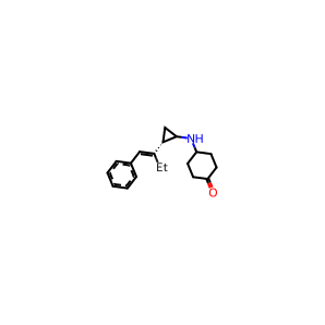 CC/C(=C\c1ccccc1)[C@@H]1CC1NC1CCC(=O)CC1